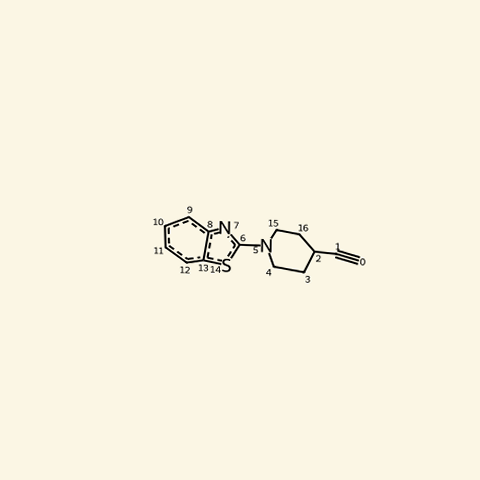 C#CC1CCN(c2nc3ccccc3s2)CC1